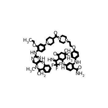 C=C1c2ccccc2Nc2nc(Nc3ccc(N4CCC(C(=O)N5CCN(CCOc6ccc(Nc7cc(NC8=C(C(=N)C(F)(F)F)C(=O)CC(C)(C)C8)ccc7C(N)=O)cc6)CC5)CC4)cc3OCC)ncc2N1C